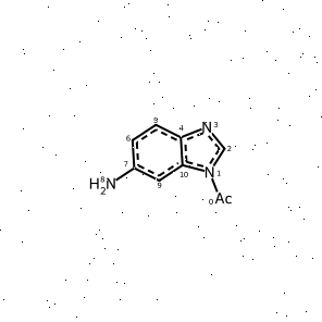 CC(=O)n1cnc2ccc(N)cc21